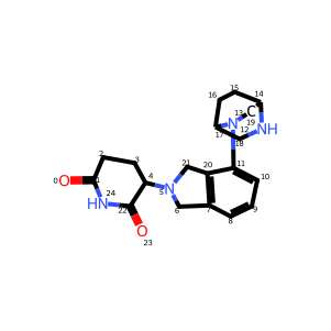 O=C1CCC(N2Cc3cccc(N4CC5CCC4CN5)c3C2)C(=O)N1